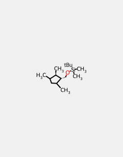 CC1CC(C)[C@@H](CO[Si](C)(C)C(C)(C)C)[C@@H]1C